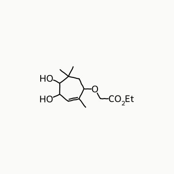 CCOC(=O)COC1CC(C)(C)C(O)C(O)C=C1C